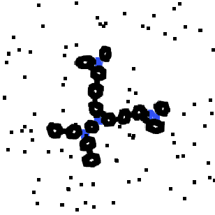 c1ccc(-c2ccc(N(c3ccc(-c4ccccc4)cc3)c3ccc(-n4c5ccc(-c6ccc(-c7ccc8c(c7)c7ccccc7n8-c7ccccc7)cc6)cc5c5cc(-c6ccc(-c7ccc8c(c7)c7ccccc7n8-c7ccccc7)cc6)ccc54)cc3)cc2)cc1